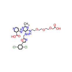 Cc1nc(NCCOCCOCCOCC(=O)O)c(NCc2ncc(-c3cc(Cl)ccc3Cl)o2)c(Nc2ccncc2C(=O)O)n1